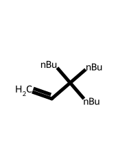 C=CC(CCCC)(CCCC)CCCC